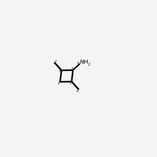 CC1CC(C)C1N